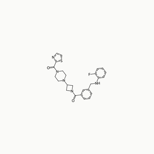 O=C(c1cccc(CNc2ccccc2F)c1)N1CC(N2CCN(C(=O)c3nccs3)CC2)C1